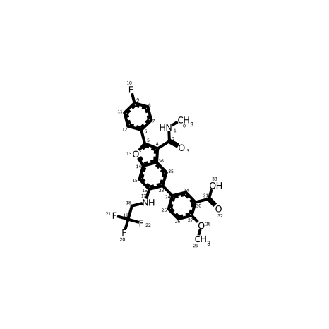 CNC(=O)c1c(-c2ccc(F)cc2)oc2cc(NCC(F)(F)F)c(-c3ccc(OC)c(C(=O)O)c3)cc12